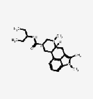 CCC(CC)NC(=O)[C@@H]1CC2c3cccc4c3c(c(C)n4C)C[C@H]2N(C)C1